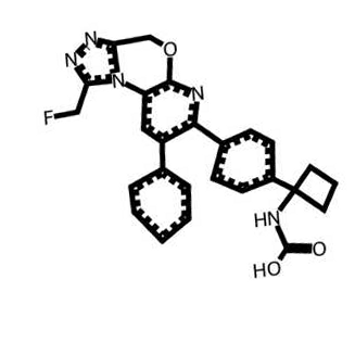 O=C(O)NC1(c2ccc(-c3nc4c(cc3-c3ccccc3)-n3c(CF)nnc3CO4)cc2)CCC1